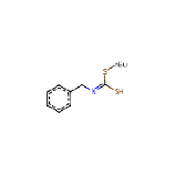 CCCCSC(S)=NCc1ccccc1